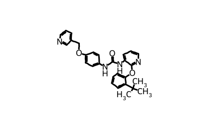 CC(C)(C)c1ccccc1Oc1ncccc1NC(=O)Nc1ccc(OCc2cccnc2)cc1